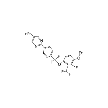 CCCc1cnc(-c2ccc(C(F)(F)Oc3ccc(OCC)c(F)c3C(F)F)cc2)nc1